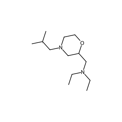 CCN(CC)CC1CN(C[C](C)C)CCO1